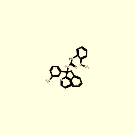 O=C(Nc1ccccc1OC(F)(F)F)NC(Cc1ccccc1)(c1cccc(C(F)(F)F)c1)c1ccccn1